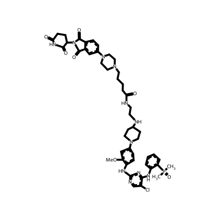 COc1cc(N2CCC(NCCNC(=O)CCCCN3CCN(c4ccc5c(c4)C(=O)N(C4CCC(=O)NC4=O)C5=O)CC3)CC2)ccc1Nc1ncc(Cl)c(Nc2ccccc2P(C)(C)=O)n1